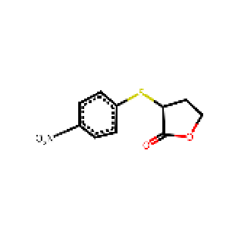 O=C1OCCC1Sc1ccc([N+](=O)[O-])cc1